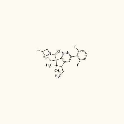 CC[C@@H]1c2cc(-c3c(F)cccc3F)nnc2C(CC)(C(=O)N2CC(F)C2)C1(C)C